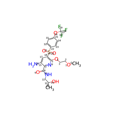 COCCOc1nc(C(=O)NC[C@H](C)O)c(N)cc1S(=O)(=O)c1ccc(OC(F)(F)F)cc1